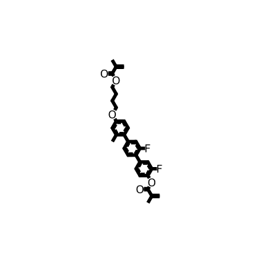 C=C(C)C(=O)OCCCCOc1ccc(-c2ccc(-c3ccc(OC(=O)C(=C)C)c(F)c3)c(F)c2)c(C)c1